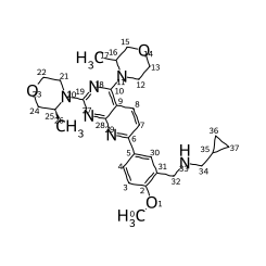 COc1ccc(-c2ccc3c(N4CCOCC4C)nc(N4CCOC[C@@H]4C)nc3n2)cc1CNCC1CC1